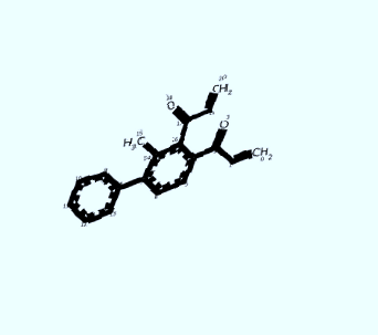 C=CC(=O)c1ccc(-c2ccccc2)c(C)c1C(=O)C=C